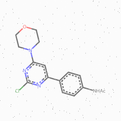 CC(=O)Nc1ccc(-c2cc(N3CCOCC3)nc(Cl)n2)cc1